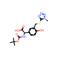 Cn1nnnc1SCc1cc(C(NC(=O)OC(C)(C)C)C(=O)O)ccc1O